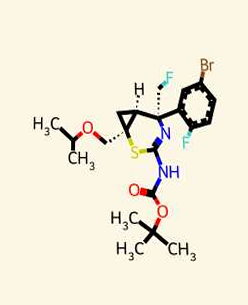 CC(C)OC[C@]12C[C@H]1[C@@](CF)(c1cc(Br)ccc1F)N=C(NC(=O)OC(C)(C)C)S2